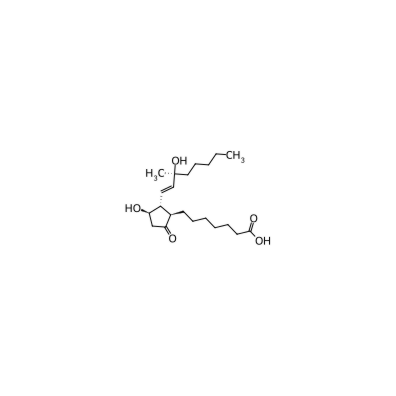 CCCCC[C@](C)(O)/C=C/[C@H]1[C@H](O)CC(=O)[C@@H]1CCCCCCC(=O)O